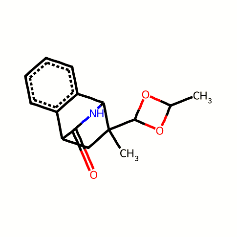 CC1OC(C2(C)CC3C(=O)NC2c2ccccc23)O1